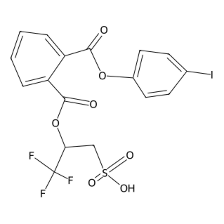 O=C(Oc1ccc(I)cc1)c1ccccc1C(=O)OC(CS(=O)(=O)O)C(F)(F)F